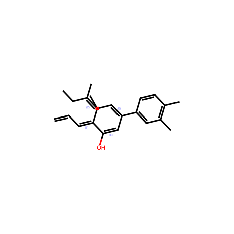 C=C/C=C(\C=C(\C)CC)C(/O)=C\C(=C/CC)c1ccc(C)c(C)c1